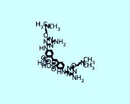 CN(C)CCOc1nc(N)nc(Nc2ccc(/C=C/c3ccc(Nc4nc(N)nc(OCCN(C)C)n4)cc3S(=O)(=O)O)c(S(=O)(=O)O)c2)n1